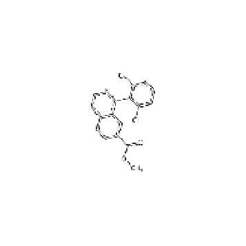 COC(=O)c1ccc2ccnc(-c3c(Cl)cccc3Cl)c2c1